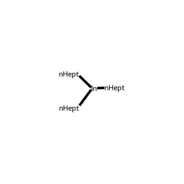 CCCCCC[CH2][In]([CH2]CCCCCC)[CH2]CCCCCC